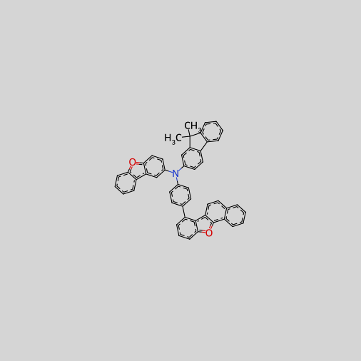 CC1(C)c2ccccc2-c2ccc(N(c3ccc(-c4cccc5oc6c7ccccc7ccc6c45)cc3)c3ccc4oc5ccccc5c4c3)cc21